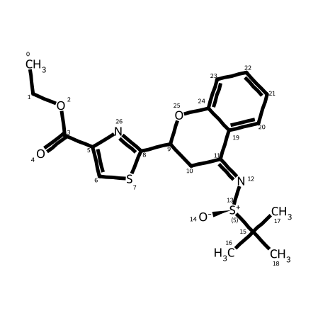 CCOC(=O)c1csc(C2CC(=N[S@+]([O-])C(C)(C)C)c3ccccc3O2)n1